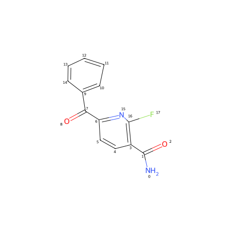 NC(=O)c1ccc(C(=O)c2ccccc2)nc1F